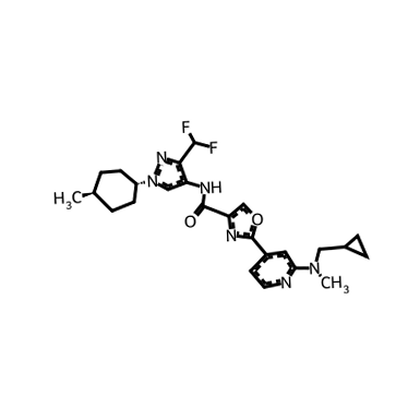 CN(CC1CC1)c1cc(-c2nc(C(=O)Nc3cn([C@H]4CC[C@H](C)CC4)nc3C(F)F)co2)ccn1